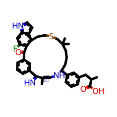 C/C1=C/NC(c2cccc(CC(C)C(=O)O)c2)CCCC(C)(C)CSCCc2c(c(F)cc3[nH]ccc23)C(=O)c2cccc(c2)C1=N